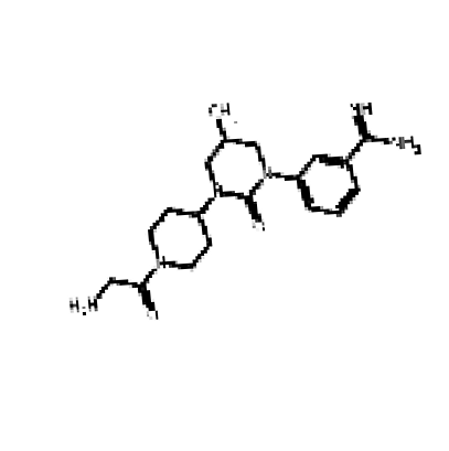 CC1CN(c2cccc(C(=N)N)c2)C(=O)N(C2CCN(C(=O)CN)CC2)C1